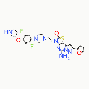 Nc1nc2c(sc(=O)n2CCN2CCN(c3ccc(O[C@@H]4CNC[C@@H]4F)cc3F)CC2)c2cc(-c3ccco3)nn12